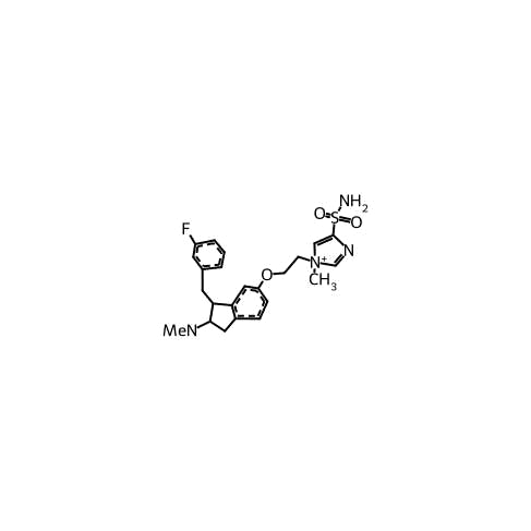 CNC1Cc2ccc(OCC[N+]3(C)C=NC(S(N)(=O)=O)=C3)cc2C1Cc1cccc(F)c1